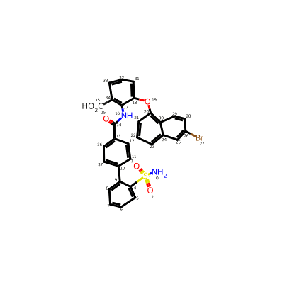 NS(=O)(=O)c1ccccc1-c1ccc(C(=O)Nc2c(Oc3cccc4cc(Br)ccc34)cccc2C(=O)O)cc1